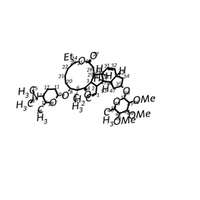 C=CC1C2C(=O)[C@H](C)[C@@H](O[C@H]3CC[C@H](N(C)C)C(C)O3)CCC[C@H](CC)OC(=O)C[C@H]2[C@@H]2C=C[C@@H]3C[C@@H](O[C@@H]4OC(C)[C@H](OC)C(OC)C4OC)C[C@H]3[C@H]12